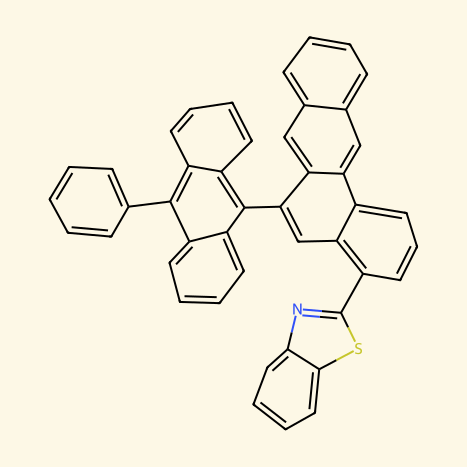 c1ccc(-c2c3ccccc3c(-c3cc4c(-c5nc6ccccc6s5)cccc4c4cc5ccccc5cc34)c3ccccc23)cc1